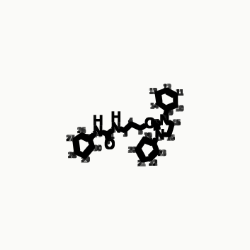 O=C(NCCCOP1N(c2ccccc2)CCN1c1ccccc1)Nc1ccccc1